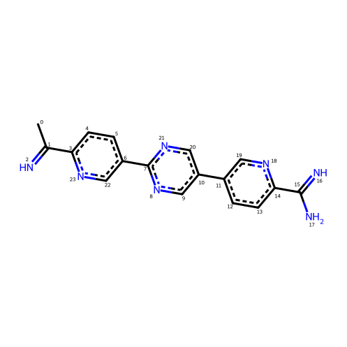 CC(=N)c1ccc(-c2ncc(-c3ccc(C(=N)N)nc3)cn2)cn1